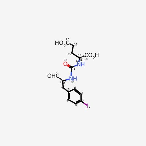 O=C[C@H](Cc1ccc(I)cc1)NC(=O)N[C@@H](CCC(=O)O)C(=O)O